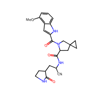 COc1cccc2[nH]c(C(=O)N3CC4(CC4)CC3C(=O)NC(C#N)CC3CCNC3=O)cc12